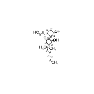 CCCCCCC(C)(C)c1ccc(C2CC(O)CC[C@H]2CCCO)c(O)c1